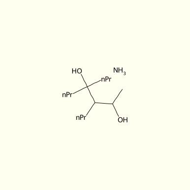 CCCC(C(C)O)C(O)(CCC)CCC.N